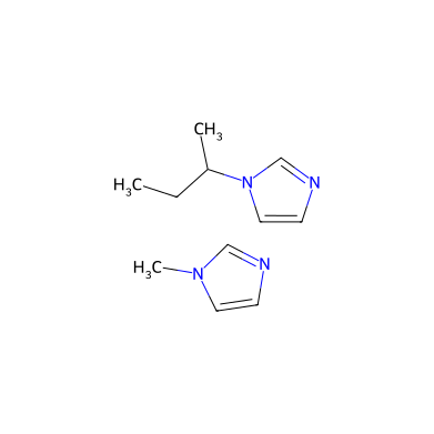 CCC(C)n1ccnc1.Cn1ccnc1